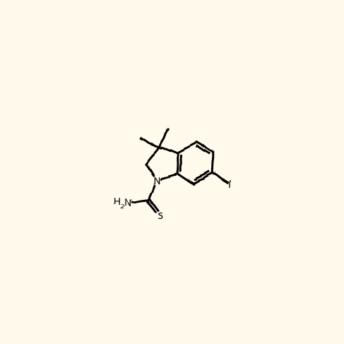 CC1(C)CN(C(N)=S)c2cc(I)ccc21